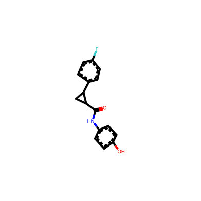 O=C(Nc1ccc(O)cc1)C1CC1c1ccc(F)cc1